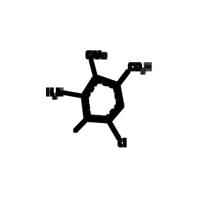 COc1c(C(=O)O)cc(Cl)c(C)c1N